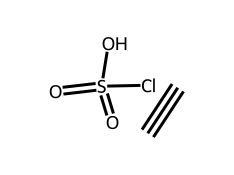 C#C.O=S(=O)(O)Cl